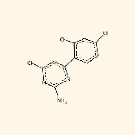 Nc1nc(Cl)cc(-c2ccc(Cl)cc2Cl)n1